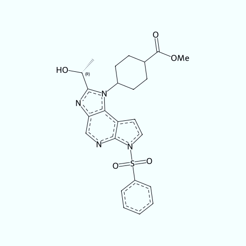 COC(=O)C1CCC(n2c([C@@H](C)O)nc3cnc4c(ccn4S(=O)(=O)c4ccccc4)c32)CC1